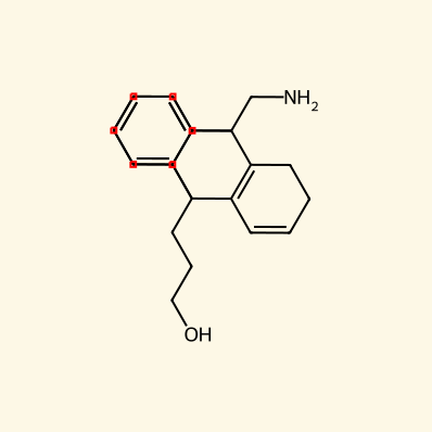 NCC12C3=C(C=CCC3)C(CCCO)(c3ccccc31)c1ccccc12